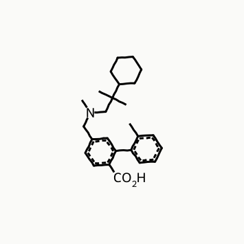 Cc1ccccc1-c1cc(CN(C)CC(C)(C)C2CCCCC2)ccc1C(=O)O